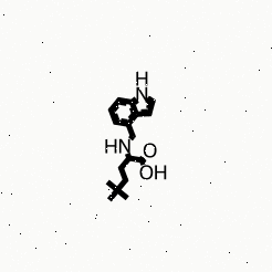 CC(C)(C)CCC(NCc1cccc2[nH]ccc12)C(=O)O